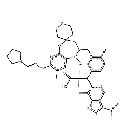 Cc1ccc(C(c2ccn3c(C(F)F)nnc3c2C)C(C)(C)C(=O)O)cc1CN1CC2(CCOCC2)Oc2nc(OCCN3CCCC3)c(C)cc2[S+]1[O-]